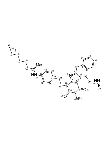 CCCn1c(=O)c2c(nc(Cc3ccccc3)n2CCNCC)n(CCc2ccc(NC(=O)CCCCCN)cc2)c1=O